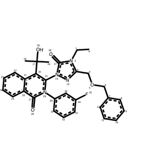 CCn1c(COCc2ccccc2)nn(-c2c(C(C)(C)O)c3ccccc3c(=O)n2-c2cccc(F)c2)c1=O